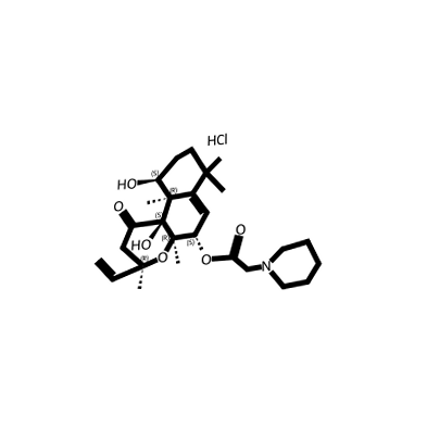 C=C[C@@]1(C)CC(=O)[C@@]2(O)[C@](C)(O1)[C@@H](OC(=O)CN1CCCCC1)C=C1C(C)(C)CC[C@H](O)[C@@]12C.Cl